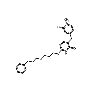 Cn1ccc(Cc2cnc(SCCCCCCCc3ccccc3)[nH]c2=O)cc1=O